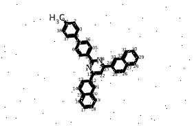 Cc1ccc(-c2ccc(-c3nc(-c4ccc5ccccc5c4)cc(-c4ccc5ccccc5c4)n3)cc2)cc1